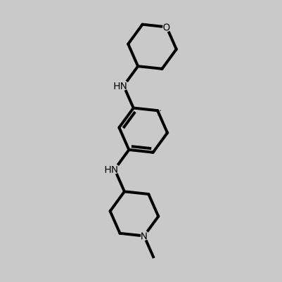 CN1CCC(NC2=CC[CH]C(NC3CCOCC3)=C2)CC1